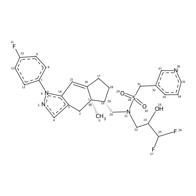 C[C@]12Cc3cnn(-c4ccc(F)cc4)c3C=C1CC[C@@H]2CN(CC(O)C(F)F)S(=O)(=O)Cc1cccnc1